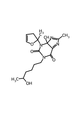 CC1=NC2(C)C(=N1)C(=O)N(CCCCC(C)O)C(=O)N2C1(C)CC=CO1